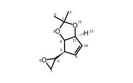 CC1(C)OC2[C@H](C3CO3)C=C[C@@H]2O1